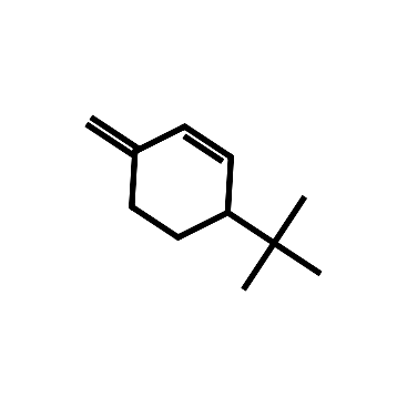 C=C1C=CC(C(C)(C)C)CC1